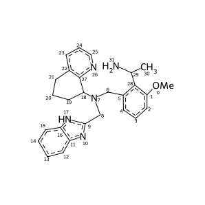 COc1cccc(CN(Cc2nc3ccccc3[nH]2)C2CCCc3cccnc32)c1C(C)N